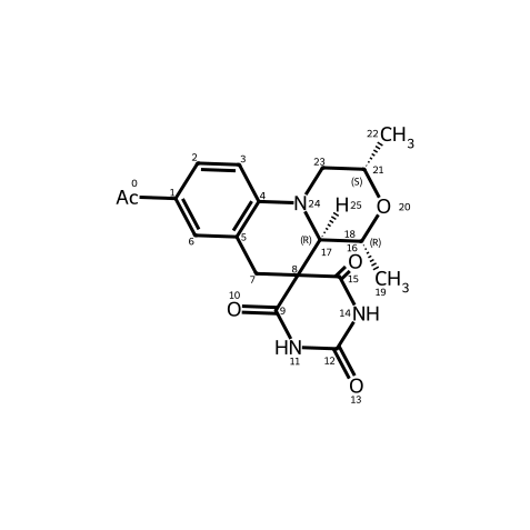 CC(=O)c1ccc2c(c1)CC1(C(=O)NC(=O)NC1=O)[C@@H]1[C@@H](C)O[C@@H](C)CN21